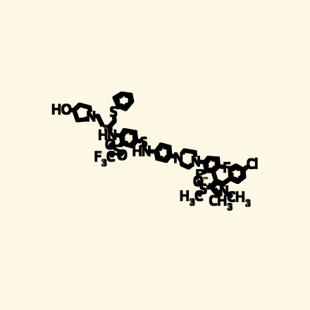 Cc1c([S+](C)[O-])c(-c2c(F)ccc(N3CCN(c4ccc(NSc5ccc(N[C@H](CCN6CCC(O)CC6)CSc6ccccc6)c(S(=O)(=O)C(F)(F)F)c5)cc4)CC3)c2F)c(-c2ccc(Cl)cc2)n1C